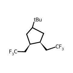 CC(C)(C)C1C[C@H](CC(F)(F)F)[C@H](CC(F)(F)F)C1